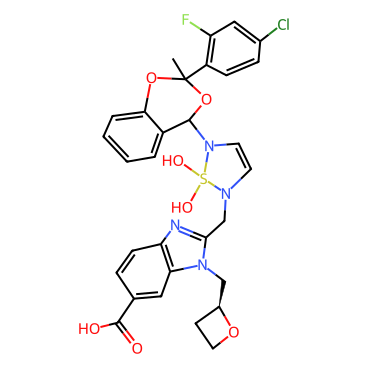 CC1(c2ccc(Cl)cc2F)Oc2ccccc2C(N2C=CN(Cc3nc4ccc(C(=O)O)cc4n3C[C@@H]3CCO3)S2(O)O)O1